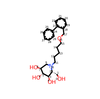 OC[C@@H]1[C@@H](O)[C@H](O)[C@@H](O)CN1CCCCCOCc1ccccc1-c1ccccc1